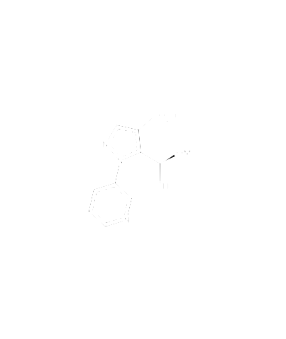 CCOC(=O)c1cnn(-c2cccnc2)c1[C@H](C)OC